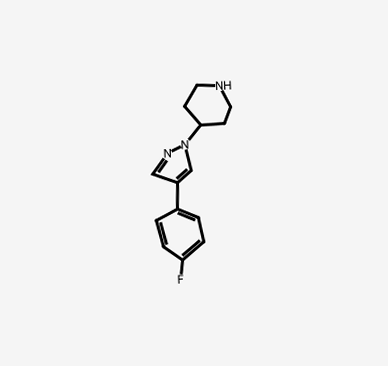 Fc1ccc(-c2cnn(C3CCNCC3)c2)cc1